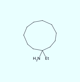 CCC1(N)CCCCCCCCCC1